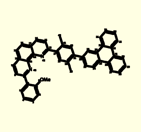 COc1ccccc1-c1ccc2ccc3ccc(-c4cc(C)c(-c5ccc6c7ccccc7c7ccccc7c6c5)cc4C)nc3c2n1